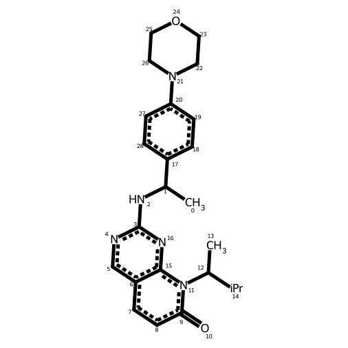 CC(Nc1ncc2ccc(=O)n(C(C)C(C)C)c2n1)c1ccc(N2CCOCC2)cc1